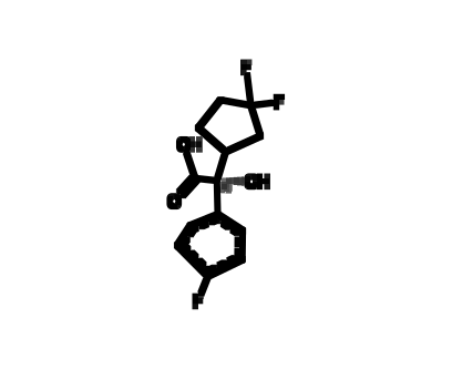 O=C(O)[C@](O)(c1ccc(F)cc1)C1CCC(F)(F)C1